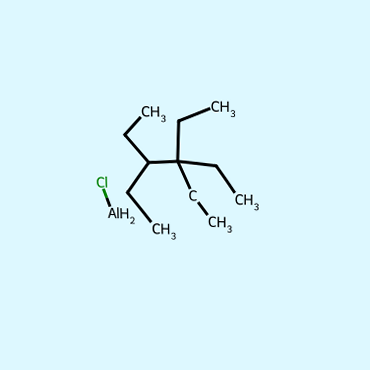 CCC(CC)C(CC)(CC)CC.[AlH2][Cl]